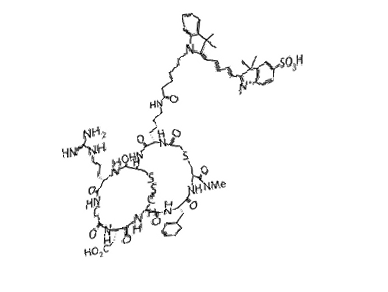 CNC(=O)[C@@H]1CSCC(=O)N[C@@H](CCCCNC(=O)CCCCCN2/C(=C/C=C/C=C/C3=[N+](C)c4ccc(S(=O)(=O)O)cc4C3(C)C)C(C)(C)c3ccccc32)C(=O)N[C@H]2CSSC[C@H](NC(=O)[C@H](CC(=O)O)NC(=O)CNC(=O)[C@H](CCCNC(=N)N)NC2=O)C(=O)N[C@@H](Cc2ccccc2)C(=O)N1